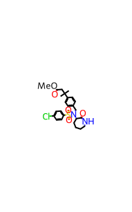 COC(=O)CC(C)(C)c1ccc(CN(C2CCCCNC2=O)S(=O)(=O)c2ccc(Cl)cc2)cc1